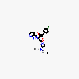 CN(C)C1CCN(C(=O)CC(NC(=O)c2cccnc2)C23CC(c4ccc(F)cc4)(C2)C3)C1